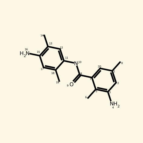 Cc1cc(N)c(C)c(C(=O)[N]c2cc(C)c(N)cc2C)c1